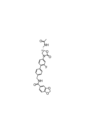 CC(=O)NC[C@H]1CN(c2ccc(-c3ccc(CNC(=O)c4ccc5c(c4)OCO5)cc3)c(F)c2)C(=O)O1